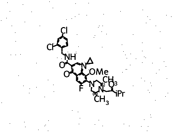 COc1c(N2C[C@@H](C)N(CC(=O)C(C)C)[C@@H](C)C2)c(F)cc2c(=O)c(C(=O)NCc3ccc(Cl)cc3Cl)cn(C3CC3)c12